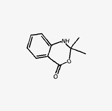 CC1(C)Nc2ccccc2C(=O)O1